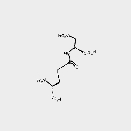 N[C@H](CCC(=O)N[C@@H](CC(=O)O)C(=O)O)C(=O)O